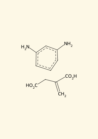 C=C(CC(=O)O)C(=O)O.Nc1cccc(N)c1